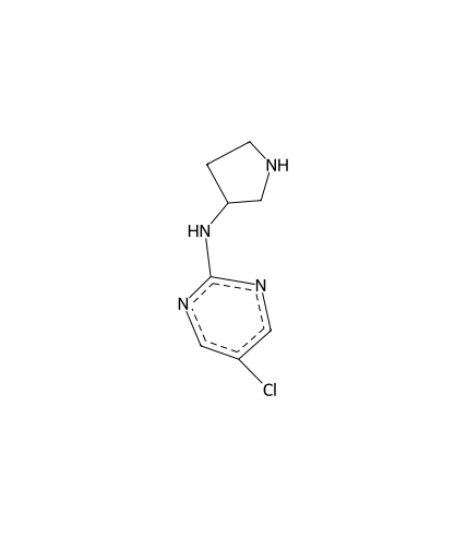 Clc1cnc(NC2CCNC2)nc1